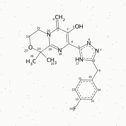 C=C1C(O)=C(c2nnc(Cc3ccc(F)cc3)[nH]2)N=C2N1CCOC2(C)C